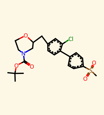 CC(C)(C)OC(=O)N1CCOC(Cc2ccc(-c3ccc(S(C)(=O)=O)cc3)c(Cl)c2)C1